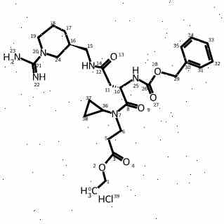 CCOC(=O)CCN(C(=O)[C@H](CC(=O)NC[C@@H]1CCCN(C(=N)N)C1)NC(=O)OCc1ccccc1)C1CC1.Cl